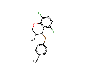 CC(=O)[C@@H]1COc2c(F)ccc(F)c2[C@H]1Sc1ccc(C(F)(F)F)cc1